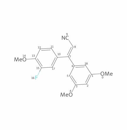 COc1cc(OC)cc(C(=CC#N)c2ccc(OC)c(F)c2)c1